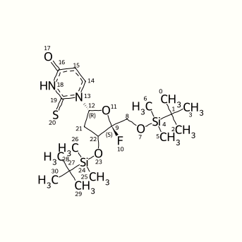 CC(C)(C)[Si](C)(C)OC[C@@]1(F)O[C@@H](n2ccc(=O)[nH]c2=S)CC1O[Si](C)(C)C(C)(C)C